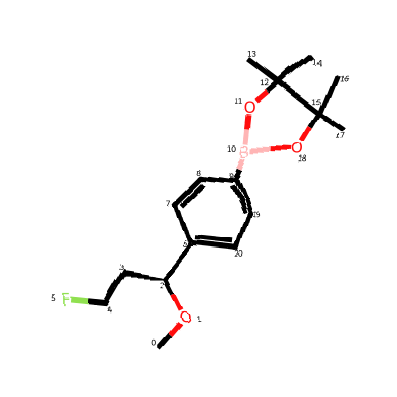 CO[C@@H](CCF)c1ccc(B2OC(C)(C)C(C)(C)O2)cc1